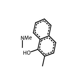 CNC.Cc1ccc2ccccc2c1O